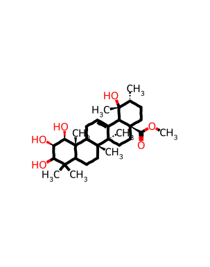 COC(=O)[C@]12CC[C@@H](C)[C@@](C)(O)C1C1=CCC3[C@]4(C)C(CC[C@@]3(C)[C@]1(C)CC2)C(C)(C)C(O)[C@@H](O)[C@H]4O